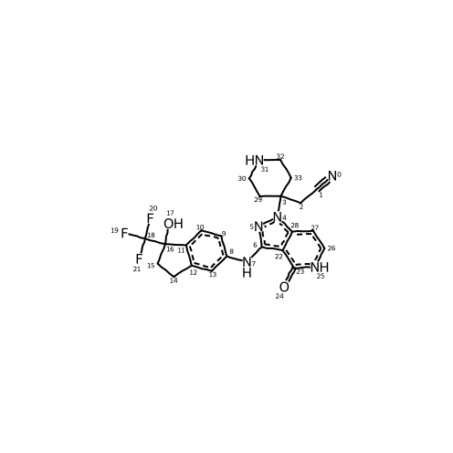 N#CCC1(n2nc(Nc3ccc4c(c3)CCC4(O)C(F)(F)F)c3c(=O)[nH]ccc32)CCNCC1